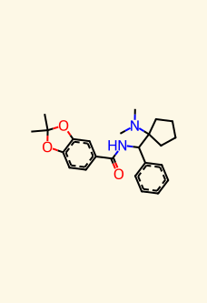 CN(C)C1(C(NC(=O)c2ccc3c(c2)OC(C)(C)O3)c2ccccc2)CCCC1